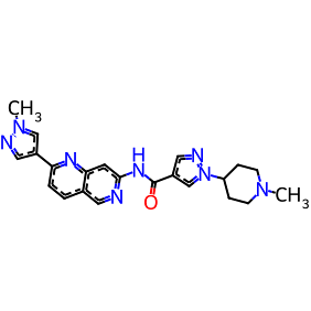 CN1CCC(n2cc(C(=O)Nc3cc4nc(-c5cnn(C)c5)ccc4cn3)cn2)CC1